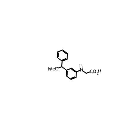 COC(c1ccccc1)c1cccc(NCC(=O)O)c1